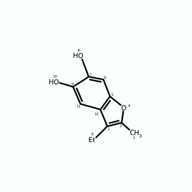 CCc1c(C)oc2cc(O)c(O)cc12